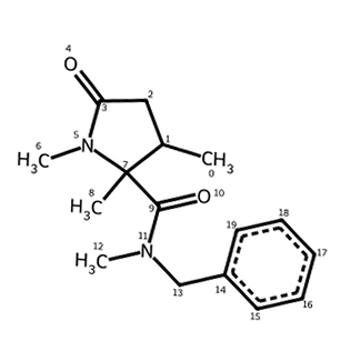 CC1CC(=O)N(C)C1(C)C(=O)N(C)Cc1ccccc1